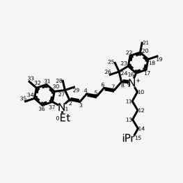 CCN1/C(=C/C=C/C=C/C2=[N+](CCCCCC(C)C)c3cc(C)c(C)cc3C2(C)C)C(C)(C)c2cc(C)c(C)cc21